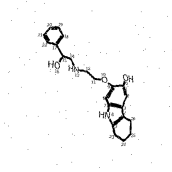 Oc1cc2c3c([nH]c2cc1OCCNCC(O)c1ccccc1)CCCC3